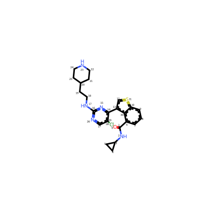 O=C(NC1CC1)c1cccc2scc(-c3nc(NCCC4CCNCC4)ncc3Cl)c12